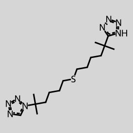 CC(C)(CCCCSCCCCC(C)(C)n1cnnn1)c1nnn[nH]1